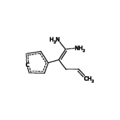 C=CCC(=C(N)N)c1ccccc1